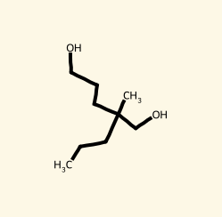 CCCC(C)(CO)CCCO